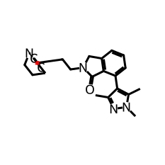 Cc1nn(C)c(C)c1-c1cccc2c1C(=O)N(CCC1CN3CCC1CC3)C2